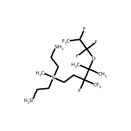 CC(C)(OC(F)(F)C(F)C(F)(F)F)C(F)(CC[Si](C)(CC[SiH3])CC[SiH3])C(F)(F)F